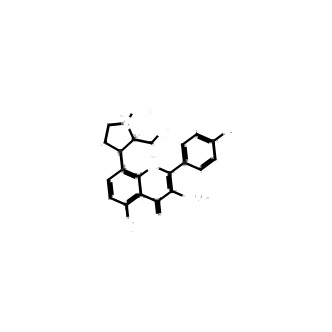 COc1c(-c2ccc(Br)cc2)oc2c(C3CCN(C)C3CO)ccc(O)c2c1=O